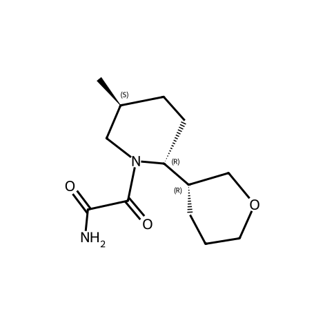 C[C@H]1CC[C@H]([C@H]2CCCOC2)N(C(=O)C(N)=O)C1